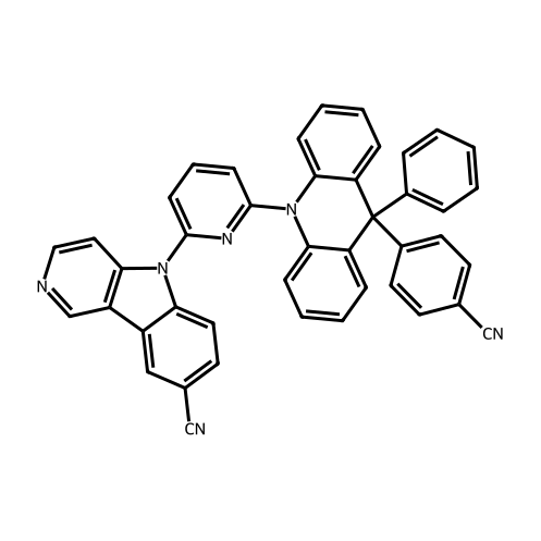 N#Cc1ccc(C2(c3ccccc3)c3ccccc3N(c3cccc(-n4c5ccncc5c5cc(C#N)ccc54)n3)c3ccccc32)cc1